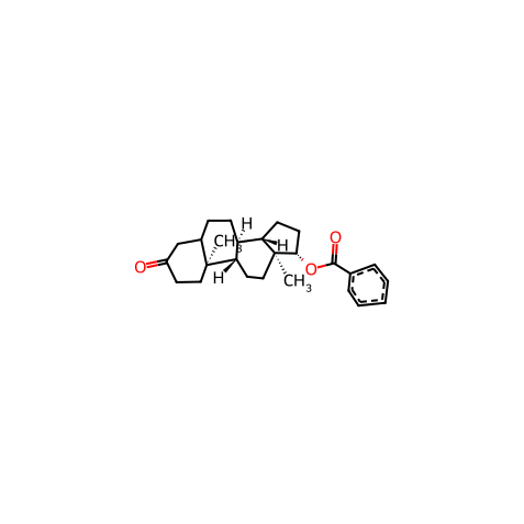 C[C@]12CC[C@H]3[C@@H](CCC4CC(=O)CC[C@@]43C)[C@@H]1CC[C@@H]2OC(=O)c1ccccc1